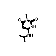 CC(C)Nc1cc(=O)n(C)c(=O)[nH]1